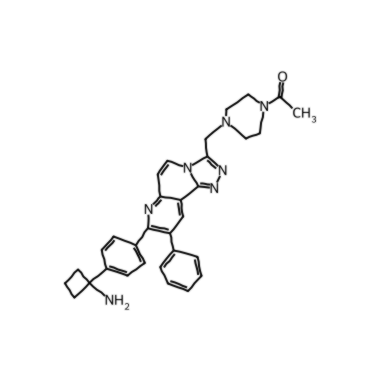 CC(=O)N1CCN(Cc2nnc3c4cc(-c5ccccc5)c(-c5ccc(C6(N)CCC6)cc5)nc4ccn23)CC1